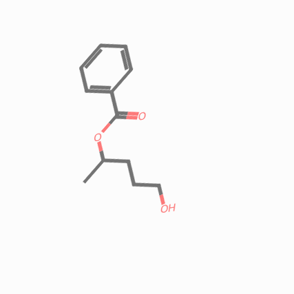 CC(CCCO)OC(=O)c1ccccc1